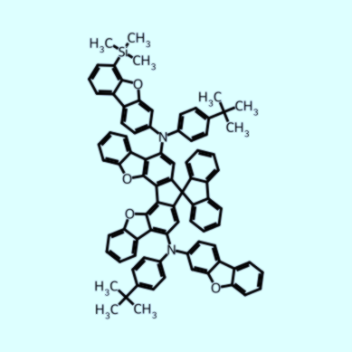 CC(C)(C)c1ccc(N(c2ccc3c(c2)oc2ccccc23)c2cc3c(c4oc5ccccc5c24)-c2c(cc(N(c4ccc(C(C)(C)C)cc4)c4ccc5c(c4)oc4c([Si](C)(C)C)cccc45)c4c2oc2ccccc24)C32c3ccccc3-c3ccccc32)cc1